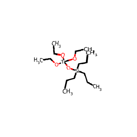 CCC[Si](CCC)(CCC)[O][Ti]([O]CC)([O]CC)[O]CC